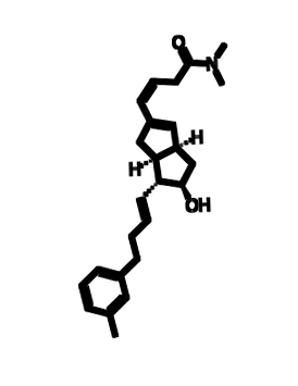 Cc1cccc(CC/C=C/[C@@H]2[C@H]3CC(/C=C\CC(=O)N(C)C)=C[C@H]3C[C@H]2O)c1